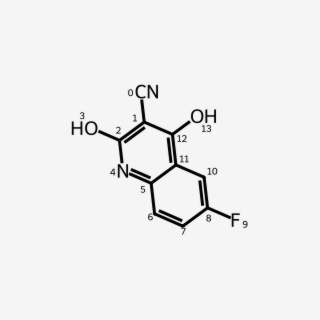 N#Cc1c(O)nc2ccc(F)cc2c1O